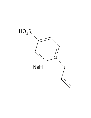 C=CCc1ccc(S(=O)(=O)O)cc1.[NaH]